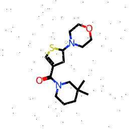 CC1(C)CCCN(C(=O)C2=CSC(N3CCOCC3)C2)C1